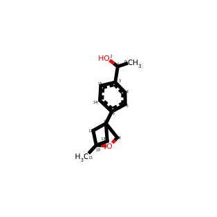 CC(O)c1ccc(C23COC(C)(C2)C3)cc1